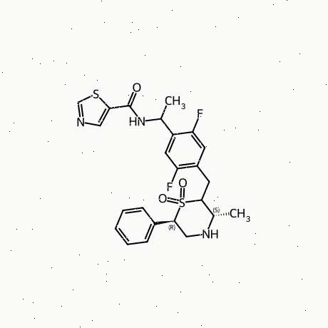 CC(NC(=O)c1cncs1)c1cc(F)c(CC2[C@H](C)NC[C@@H](c3ccccc3)S2(=O)=O)cc1F